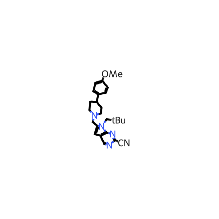 COc1ccc(C2CCN(Cc3cc4cnc(C#N)nc4n3CC(C)(C)C)CC2)cc1